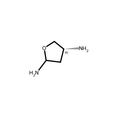 NC1C[C@@H](N)CO1